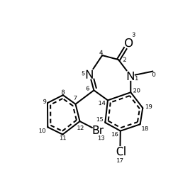 CN1C(=O)CN=C(c2ccccc2Br)c2cc(Cl)ccc21